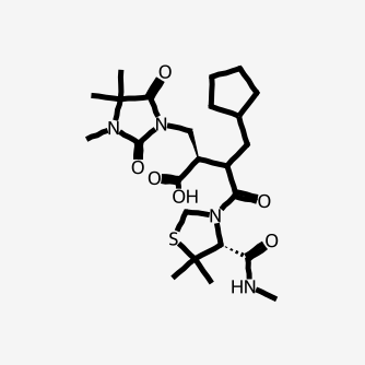 CNC(=O)[C@H]1N(C(=O)C(CC2CCCC2)[C@H](CN2C(=O)N(C)C(C)(C)C2=O)C(=O)O)CSC1(C)C